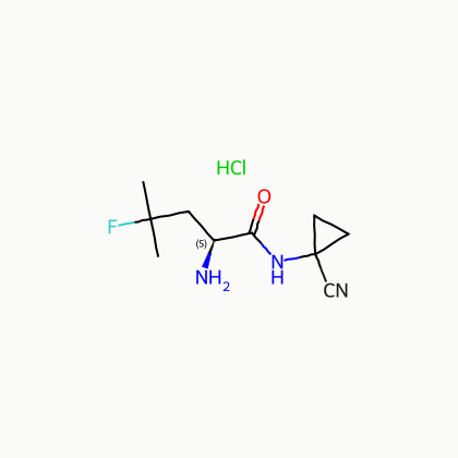 CC(C)(F)C[C@H](N)C(=O)NC1(C#N)CC1.Cl